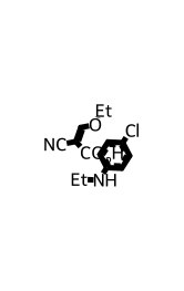 CCNc1ccc(Cl)cc1.CCOC=C(C#N)C(=O)O